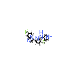 Fc1ccn2c(-c3cccc(NC4CNCC4F)n3)cnc2c1